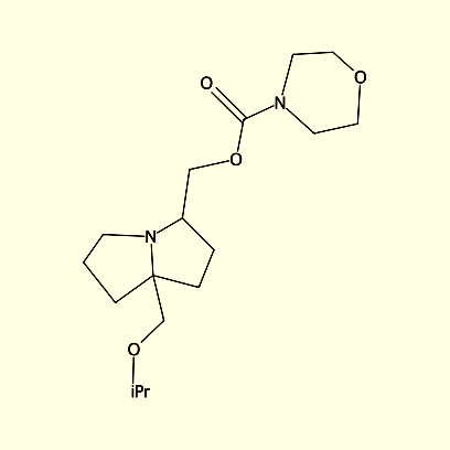 CC(C)OCC12CCCN1C(COC(=O)N1CCOCC1)CC2